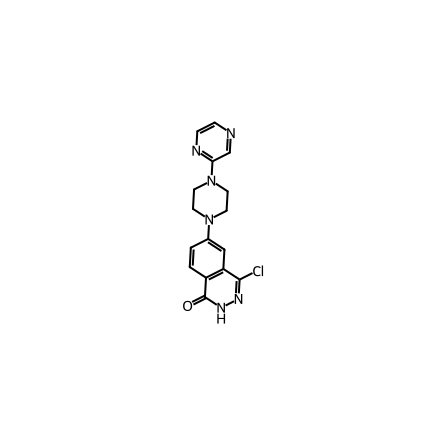 O=c1[nH]nc(Cl)c2cc(N3CCN(c4cnccn4)CC3)ccc12